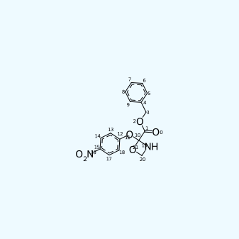 O=C(OCc1ccccc1)C1(Oc2ccc([N+](=O)[O-])cc2)NCO1